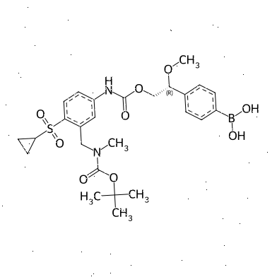 CO[C@@H](COC(=O)Nc1ccc(S(=O)(=O)C2CC2)c(CN(C)C(=O)OC(C)(C)C)c1)c1ccc(B(O)O)cc1